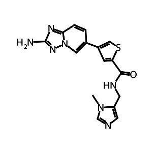 Cn1cncc1CNC(=O)c1cc(-c2ccc3nc(N)nn3c2)cs1